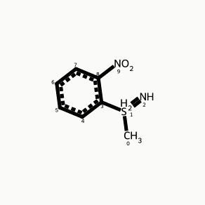 C[SH2](=N)c1ccccc1[N+](=O)[O-]